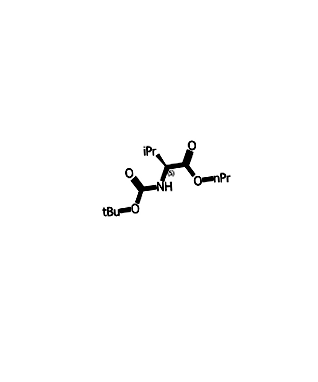 CCCOC(=O)[C@@H](NC(=O)OC(C)(C)C)C(C)C